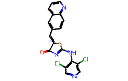 O=C1N=C(Nc2c(Cl)cncc2Cl)S/C1=C\c1ccc2ncccc2c1